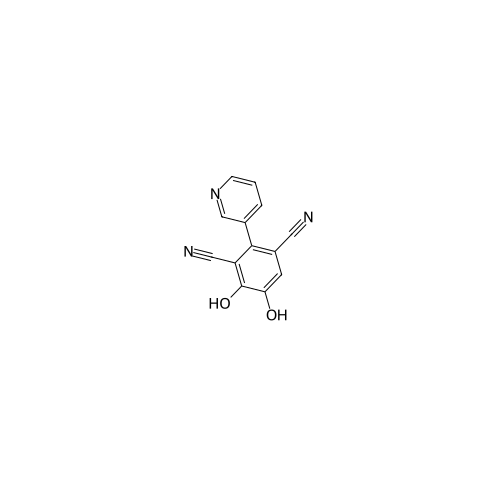 N#Cc1cc(O)c(O)c(C#N)c1-c1cccnc1